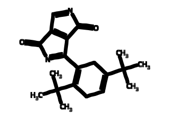 CC(C)(C)C1=CCC(C(C)(C)C)=C(c2nc(=O)c3cnc(=O)c2=3)C1